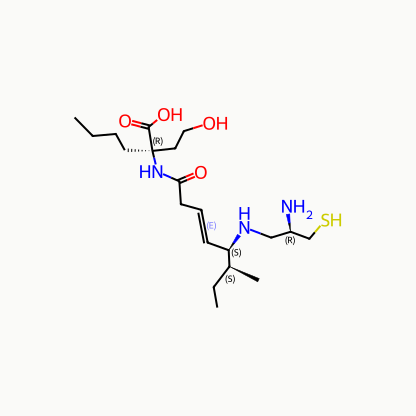 CCCC[C@](CCO)(NC(=O)C/C=C/[C@@H](NC[C@@H](N)CS)[C@@H](C)CC)C(=O)O